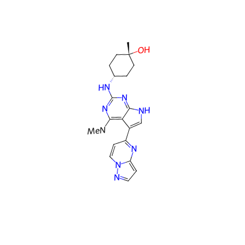 CNc1nc(N[C@H]2CC[C@@](C)(O)CC2)nc2[nH]cc(-c3ccn4nccc4n3)c12